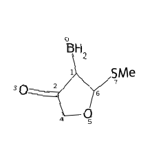 BC1C(=O)COC1SC